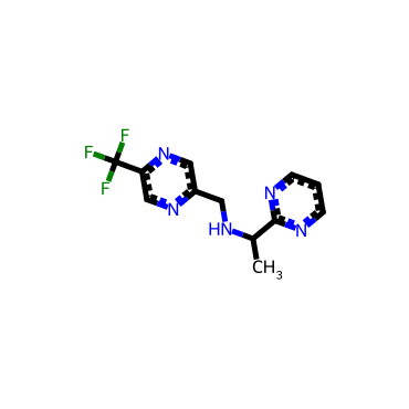 CC(NCc1cnc(C(F)(F)F)cn1)c1ncccn1